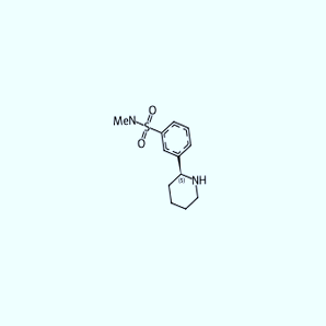 CNS(=O)(=O)c1cccc([C@@H]2CCCCN2)c1